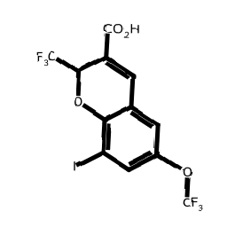 O=C(O)C1=Cc2cc(OC(F)(F)F)cc(I)c2OC1C(F)(F)F